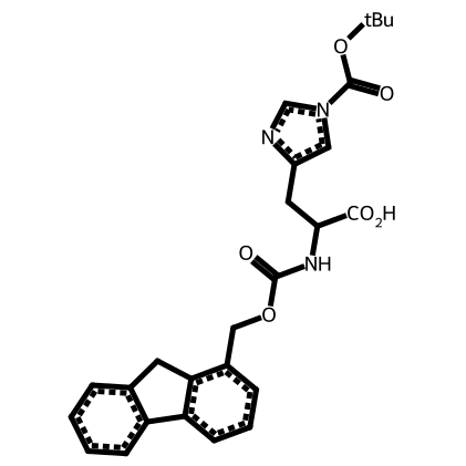 CC(C)(C)OC(=O)n1cnc(CC(NC(=O)OCc2cccc3c2Cc2ccccc2-3)C(=O)O)c1